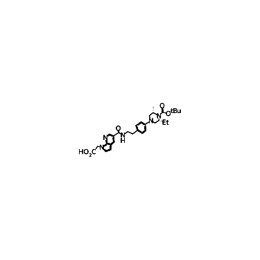 CC[C@@H]1CN(c2ccc(CCNC(=O)c3cnc4c(ccn4CC(=O)O)c3)cc2)C[C@H](C)N1C(=O)OC(C)(C)C